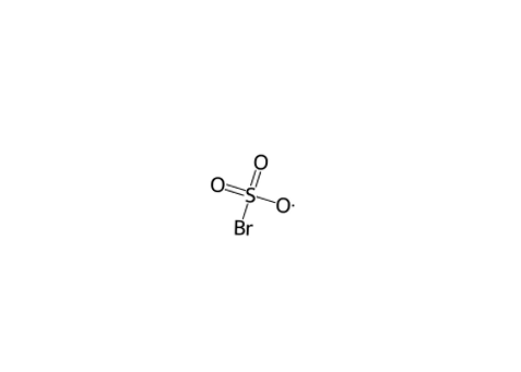 [O]S(=O)(=O)Br